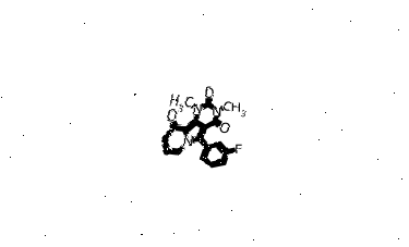 Cn1c(=O)c2c(-c3cccc(F)c3)n3c(c2n(C)c1=O)C(=O)CCC3